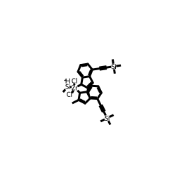 CC1=Cc2c(C#C[Si](C)(C)C)cccc2[CH]1[Zr]([Cl])([Cl])([CH]1C(C)=Cc2c(C#C[Si](C)(C)C)cccc21)[SiH](C)C